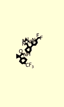 O=C(Nc1ccc(-c2ccc(C(F)F)nc2)c(-c2nnn[nH]2)c1)C1(c2ccc(C(F)(F)F)cc2)CC1